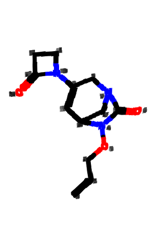 C=CCON1C(=O)N2CC(N3CCC3=O)=CC1C2